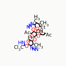 CCC1O[C@H](O[C@@H]2C(C(C)=O)OC(O[C@@H]3C(CC)OC(OC(=N)C(Cl)(Cl)Cl)[C@@H](N=[N+]=[N-])[C@H]3C)[C@@H](OC(=O)CCC(C)=O)[C@H]2C)C(N=[N+]=[N-])[C@@H](C)[C@@H]1C